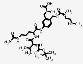 CNCCN(C)C(=O)OCc1ccc(NC(=O)C(CCCNC(N)=O)NC(=O)C(NC(=O)OC(C)(C)C)C(C)C)cc1CN(C)C(=O)O